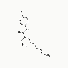 C/C=C/CCCCC(CC)C(=O)Nc1ccc(F)cc1